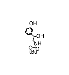 CC(C)(C)OC(=O)NCC(O)c1cccc(O)c1